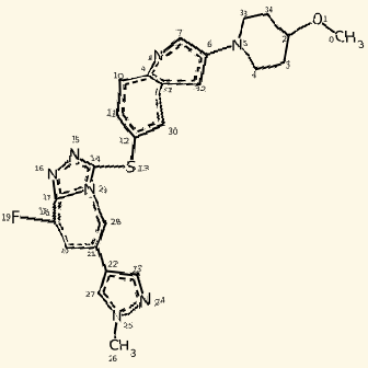 COC1CCN(c2cnc3ccc(Sc4nnc5c(F)cc(-c6cnn(C)c6)cn45)cc3c2)CC1